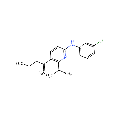 C=C(CCC)c1ccc(Nc2cccc(Cl)c2)nc1C(C)C